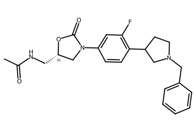 CC(=O)NC[C@H]1CN(c2ccc(C3CCN(Cc4ccccc4)C3)c(F)c2)C(=O)O1